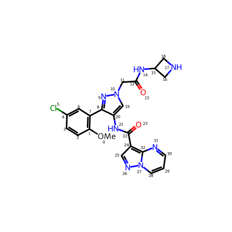 COc1ccc(Cl)cc1-c1nn(CC(=O)NC2CNC2)cc1NC(=O)c1cnn2cccnc12